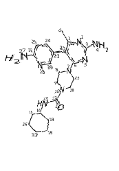 Cc1nc(N)nc(N2CCN(C(=O)NC3CCCCC3)CC2)c1-c1ccc(N)nc1